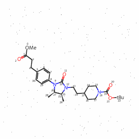 COC(=O)CCc1ccc(N2C(=O)N(CCC3CCN(C(=O)OC(C)(C)C)CC3)[C@@H](C)[C@H]2C)cc1